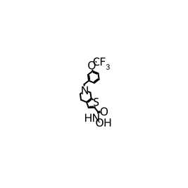 O=C(NO)c1cc2c(s1)CN(Cc1cccc(OC(F)(F)F)c1)CC2